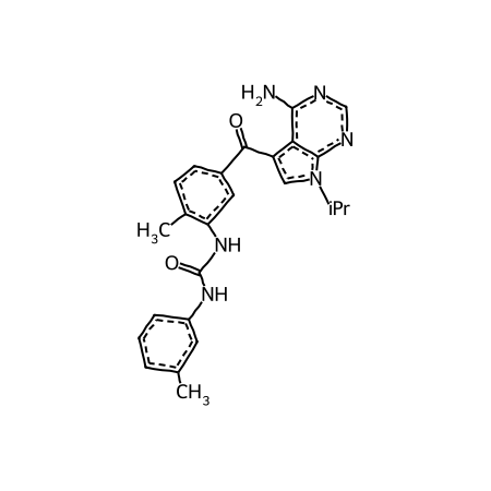 Cc1cccc(NC(=O)Nc2cc(C(=O)c3cn(C(C)C)c4ncnc(N)c34)ccc2C)c1